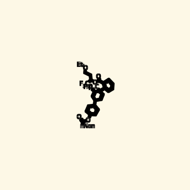 CCCCCCCCCC(=O)Oc1ccc(C2C=CC(C(=O)O)(c3ccccc3C(=O)OC(CCOCC)C(F)(F)F)C(F)=C2)cc1